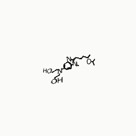 C=C(CCCc1nc2cc(N(CCO)CCO)ccc2n1C)OC(C)C